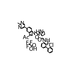 CC(=O)c1cn(CC(=O)N2NCC[C@@H]2C(=O)Nc2cccc(-c3ccccc3Cl)c2F)c2ccc(-c3cnc(C)nc3)cc12.O=C(O)C(F)(F)F